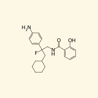 Nc1ccc(C(F)(CNC(=O)c2ccccc2O)CC2CCCCC2)cc1